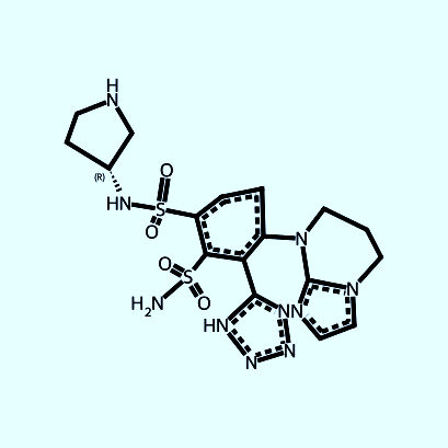 NS(=O)(=O)c1c(S(=O)(=O)N[C@@H]2CCNC2)ccc(N2CCCn3ccnc32)c1-c1nnn[nH]1